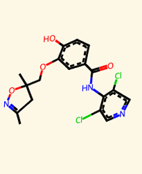 CC1=NOC(C)(COc2cc(C(=O)Nc3c(Cl)cncc3Cl)ccc2O)C1